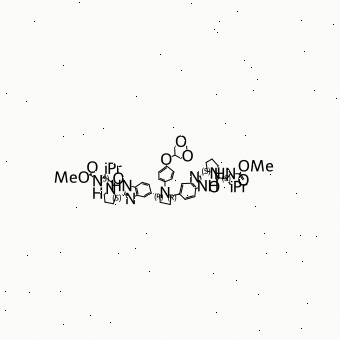 COC(=O)N[C@H](C(=O)N1CCC[C@H]1c1nc2cc([C@H]3CC[C@H](c4ccc5[nH]c([C@@H]6CCCN6C(=O)[C@@H](NC(=O)OC)C(C)C)nc5c4)N3c3ccc(OC4COCOC4)cc3)ccc2[nH]1)C(C)C